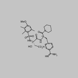 COc1cc(C)c(S(=O)(=O)N[C@@H](CC(=O)O)C(=O)N[C@H](Cc2ccc(C(=N)N)cc2)C(=O)N2CCCCC2)c(C)c1C.Cl